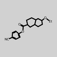 CCOC1CCC2CC(C(=O)Oc3ccc(C#N)cc3)CCC2C1